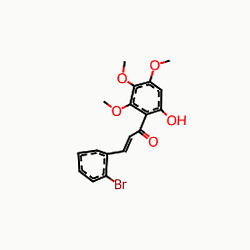 COc1cc(O)c(C(=O)C=Cc2ccccc2Br)c(OC)c1OC